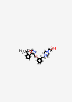 CC(C)c1ccccc1C1OC=NC1COc1ccccc1CCN1CCN(CCO)CC1